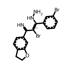 N=C(/C(Br)=C(\NN)c1cccc(Br)c1)c1ccc2c(c1)OCC2